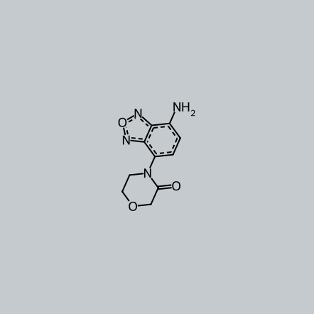 Nc1ccc(N2CCOCC2=O)c2nonc12